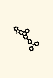 c1ccc(N(c2ccccc2)c2ccc(-c3ccc4c(c3)c3ccccc3c3cc5c(cc43)oc3ccccc35)cc2)cc1